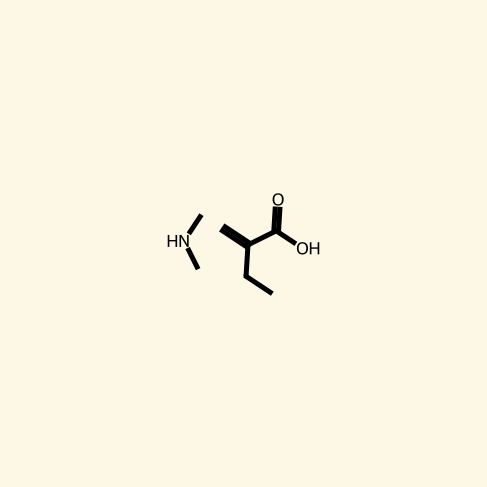 C=C(CC)C(=O)O.CNC